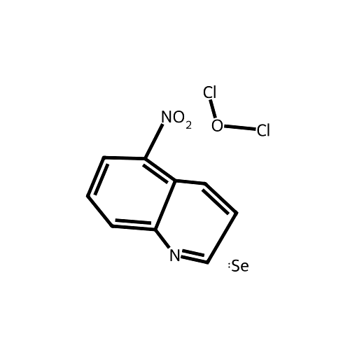 ClOCl.O=[N+]([O-])c1cccc2ncccc12.[Se]